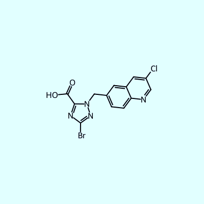 O=C(O)c1nc(Br)nn1Cc1ccc2ncc(Cl)cc2c1